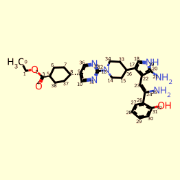 CCOC(=O)[C@H]1CC[C@H](c2cnc(N3CCC(c4c[nH]c(N)c4/C=C(\N)c4ccccc4O)CC3)nc2)CC1